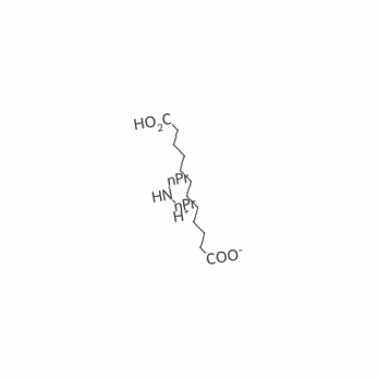 CCCNCCC.O=C([O-])CCCCCCCCCCC(=O)O.[H+]